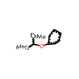 CO[C](OC)Oc1ccccc1